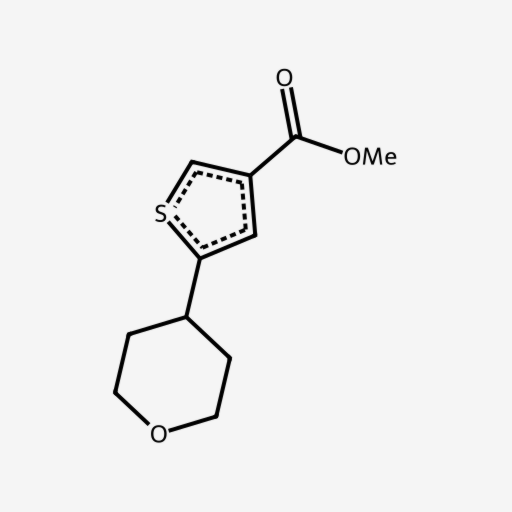 COC(=O)c1csc(C2CCOCC2)c1